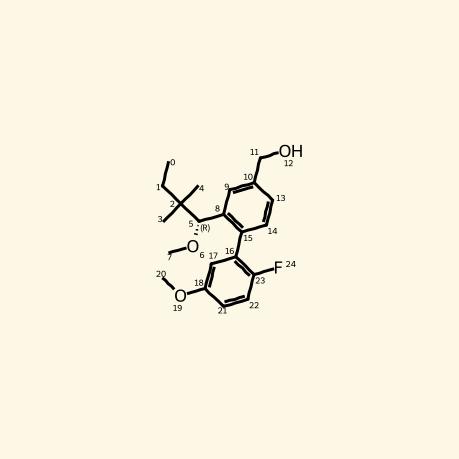 CCC(C)(C)[C@@H](OC)c1cc(CO)ccc1-c1cc(OC)ccc1F